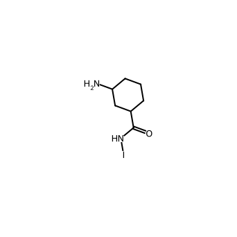 NC1CCCC(C(=O)NI)C1